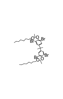 CCCCCCCCOC(C)Oc1c(Br)cc(C(C)(C)c2cc(Br)c(OC(C)OCCCCCCCC)c(Br)c2)cc1Br